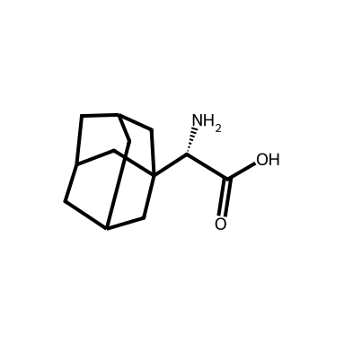 N[C@H](C(=O)O)C12CC3CC(CC(C3)C1)C2